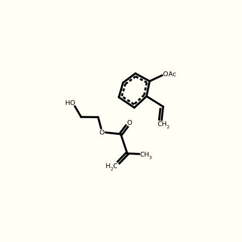 C=C(C)C(=O)OCCO.C=Cc1ccccc1OC(C)=O